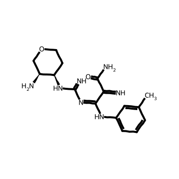 Cc1cccc(N/C(=N/C(=N)N[C@@H]2CCOC[C@@H]2N)C(=N)C(N)=O)c1